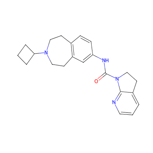 O=C(Nc1ccc2c(c1)CCN(C1CCC1)CC2)N1CCc2cccnc21